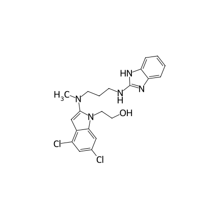 CN(CCCNc1nc2ccccc2[nH]1)c1cc2c(Cl)cc(Cl)cc2n1CCO